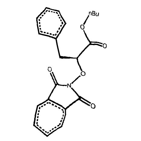 CCCCOC(=O)[C@H](Cc1ccccc1)ON1C(=O)c2ccccc2C1=O